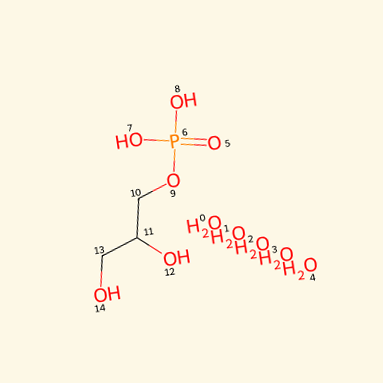 O.O.O.O.O.O=P(O)(O)OCC(O)CO